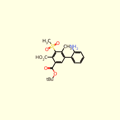 Cc1c(-c2ccccc2N)cc(C(=O)OC(C)(C)C)c(C(=O)O)c1S(C)(=O)=O